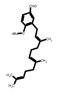 CCCCOc1ccc(C=O)cc1C/C=C(\C)CC/C=C(\C)CCC=C(C)C